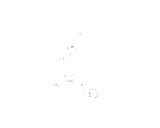 COc1cc(CC(=O)Nc2ccc(C3CN(C(C)=O)CC3C(=O)O)cc2)ccc1NC(=O)N1CCc2ccccc21